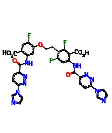 O=C(Nc1cc(OCCc2c(F)cc(NC(=O)c3ccc(-n4ccnc4)nn3)c(C(=O)O)c2F)c(F)cc1C(=O)O)c1ccc(-n2ccnc2)nn1